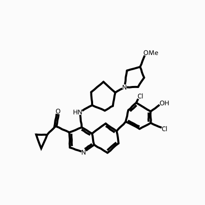 COC1CCN(C2CCC(Nc3c(C(=O)C4CC4)cnc4ccc(-c5cc(Cl)c(O)c(Cl)c5)cc34)CC2)C1